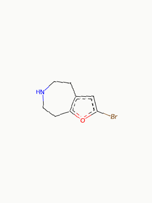 Brc1cc2c(o1)CCNCC2